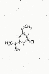 CCc1cc(Cl)cc(C(C)=N)c1